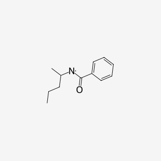 CCCC(C)[N]C(=O)c1ccccc1